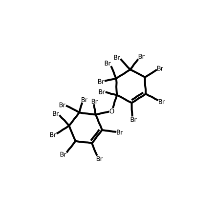 BrC1=C(Br)C(Br)(OC2(Br)C(Br)=C(Br)C(Br)C(Br)(Br)C2(Br)Br)C(Br)(Br)C(Br)(Br)C1Br